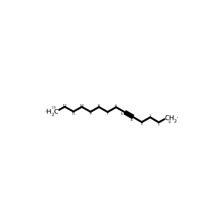 [CH2]CCCC#CCCCCCCC[CH2]